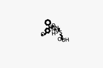 COCC1CCC(N(C(=O)Nc2ncc(SCCC(=O)O)s2)C2CCCCCC2)CC1